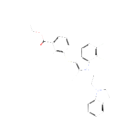 CCOC(=O)c1cccc(Sc2c(C)n(CCN3CCc4ccccc43)c3c(F)c(Cl)ccc23)c1F